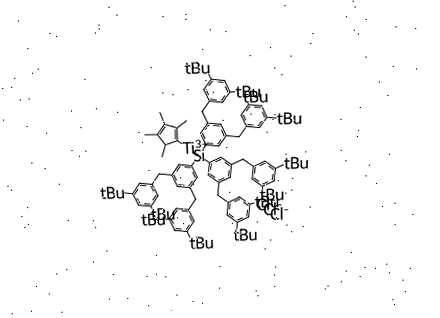 CC1=C(C)C(C)[C]([Ti+3][Si](c2cc(Cc3cc(C(C)(C)C)cc(C(C)(C)C)c3)cc(Cc3cc(C(C)(C)C)cc(C(C)(C)C)c3)c2)(c2cc(Cc3cc(C(C)(C)C)cc(C(C)(C)C)c3)cc(Cc3cc(C(C)(C)C)cc(C(C)(C)C)c3)c2)c2cc(Cc3cc(C(C)(C)C)cc(C(C)(C)C)c3)cc(Cc3cc(C(C)(C)C)cc(C(C)(C)C)c3)c2)=C1C.[Cl-].[Cl-].[Cl-]